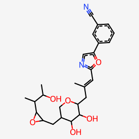 C/C(=C\c1ncc(-c2cccc(C#N)c2)o1)CC1OCC(CC2OC2C(C)C(C)O)C(O)C1O